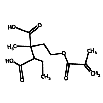 C=C(C)C(=O)OCCC(C)(C(=O)O)C(CC)C(=O)O